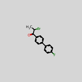 CC(Br)C(=O)c1ccc(-c2ccc(F)cc2)cc1